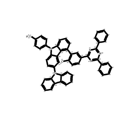 Cc1ccc(-n2c3ccc(-n4c5ccccc5c5ccccc54)cc3c3c(-c4cc(-c5nc(-c6ccccc6)nc(-c6ccccc6)n5)ccc4C)cccc32)cc1